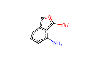 Nc1cccc2coc(O)c12